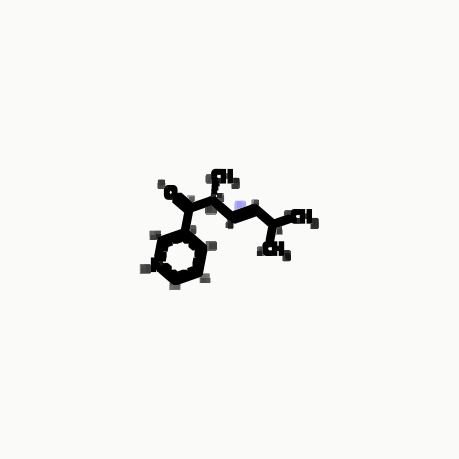 CC(C)/C=C/[C@@H](C)C(=O)c1cccnc1